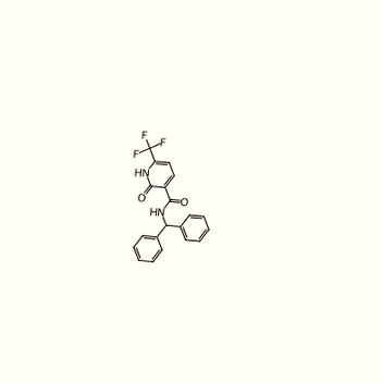 O=C(NC(c1ccccc1)c1ccccc1)c1ccc(C(F)(F)F)[nH]c1=O